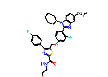 O=C(O)c1ccc2c(c1)nc(-c1ccc(OCc3sc(C(=O)NCCO)nc3-c3ccc(F)cc3)cc1F)n2C1CCCCC1